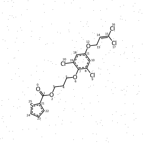 O=C(OCCCOc1c(Cl)cc(OCC=C(Cl)Cl)cc1Cl)c1cccs1